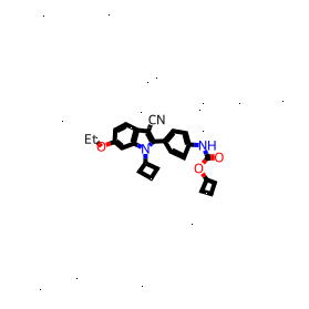 CCOc1ccc2c(C#N)c(-c3ccc(NC(=O)OC4CCC4)cc3)n(C3CCC3)c2c1